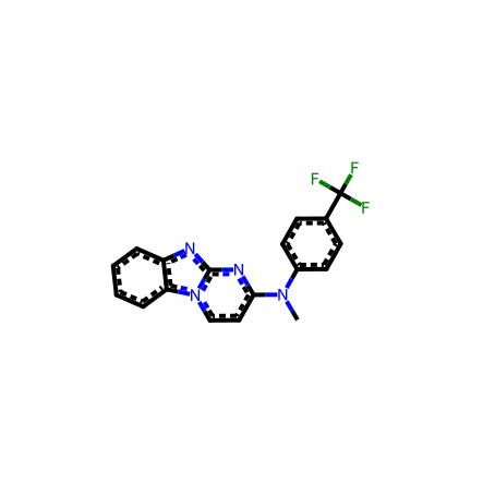 CN(c1ccc(C(F)(F)F)cc1)c1ccn2c(n1)nc1ccccc12